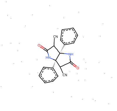 N#CC1C(=O)N[C@]2(c3ccccc3)C(C#N)C(=O)N[C@]12c1ccccc1